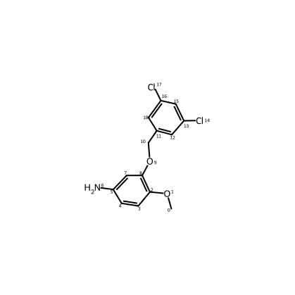 COc1ccc(N)cc1OCc1cc(Cl)cc(Cl)c1